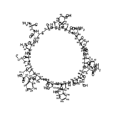 CCCC[C@H]1C(=O)N(C)[C@@H](CCCC)C(=O)N[C@@H](CN)C(=O)N[C@H](C(=O)NCC(N)=O)CSCC(=O)N[C@@H](Cc2ccc(O)cc2)C(=O)N(C)[C@@H](C)C(=O)N[C@@H](CC(N)=O)C(=O)N2CCC[C@H]2C(=O)N[C@@H](Cc2c[nH]cn2)C(=O)N[C@@H](CCC(N)=O)C(=O)N2C[C@H](O)C[C@H]2C(=O)N[C@@H](Cc2c[nH]c3ccccc23)C(=O)N[C@@H](CO)C(=O)N[C@@H](Cc2cn(CC(=O)O)c3ccccc23)C(=O)N1C